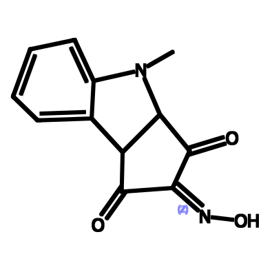 CN1c2ccccc2C2C(=O)/C(=N/O)C(=O)C21